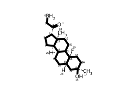 BCC(=O)[C@H]1CCC2[C@@H]3CC[C@@H]4C[C@](C)(O)CC[C@]4(F)C3CC[C@@]21C